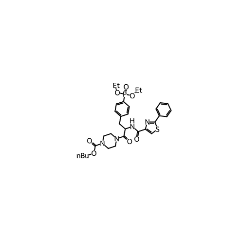 CCCCOC(=O)N1CCN(C(=O)C(Cc2ccc(P(=O)(OCC)OCC)cc2)NC(=O)c2csc(-c3ccccc3)n2)CC1